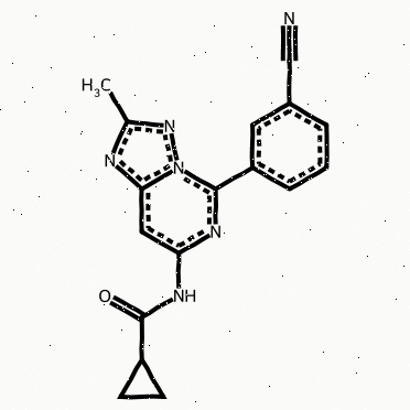 Cc1nc2cc(NC(=O)C3CC3)nc(-c3cccc(C#N)c3)n2n1